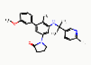 Cc1c(NC(C)(C)c2ccc(C(F)(F)F)nc2)cc(N2CCCC2=O)cc1-c1cccc(OC(F)(F)F)c1